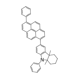 CC12CCCCC1(C)N(c1ccccc1)c1ccc(-c3ccc4ccc5c(-c6ccccc6)ccc6ccc3c4c65)cc12